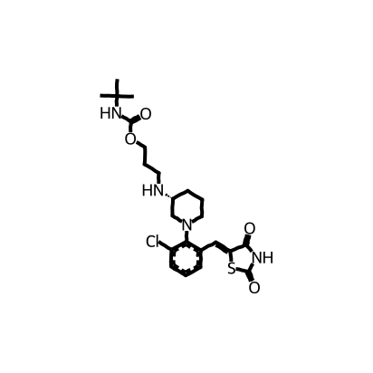 CC(C)(C)NC(=O)OCCCN[C@@H]1CCCN(c2c(Cl)cccc2/C=C2\SC(=O)NC2=O)C1